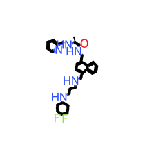 C[C@H](NCc1ccccn1)C(=O)NCc1ccc(CNCCCNC2CCC(F)(F)CC2)c2ccccc12